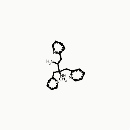 CNC(Cc1ccccn1)(Cc1ccccn1)C(N)Cc1ccccn1